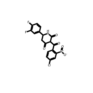 O=C1CC(c2ccc(F)c(F)c2)NC(=O)C1C(=O)c1ccc(Cl)cc1[N+](=O)[O-]